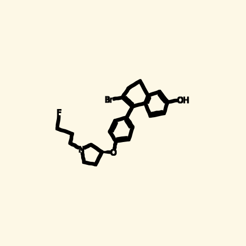 Oc1ccc2c(c1)CCC(Br)=C2c1ccc(O[C@H]2CCN(CCCF)C2)cc1